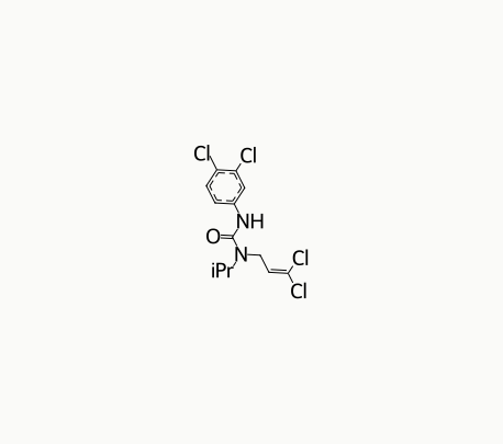 CC(C)N(CC=C(Cl)Cl)C(=O)Nc1ccc(Cl)c(Cl)c1